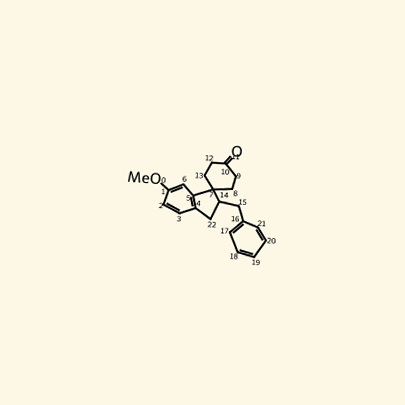 COc1ccc2c(c1)C1(CCC(=O)CC1)C(Cc1ccccc1)C2